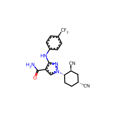 N#C[C@@H]1CC[C@H](n2cc(C(N)=O)c(Nc3ccc(C(F)(F)F)cc3)n2)[C@@H](C#N)C1